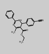 CCOC(=O)C1=C(C)N=C(c2ccccc2)NC1c1ccc(C#N)cc1